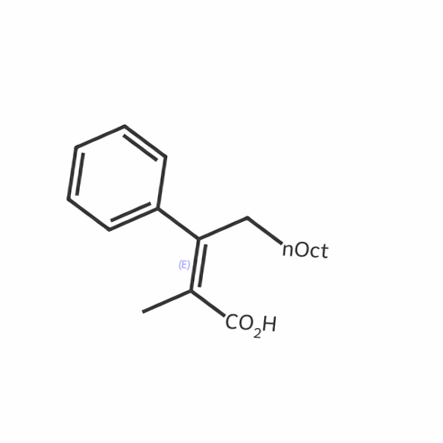 CCCCCCCCC/C(=C(/C)C(=O)O)c1ccccc1